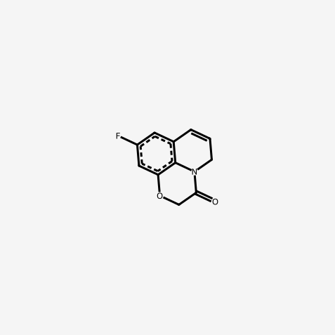 O=C1COc2cc(F)cc3c2N1CC=C3